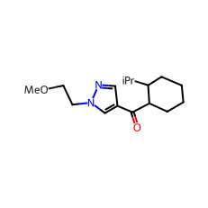 COCCn1cc(C(=O)C2CCCCC2C(C)C)cn1